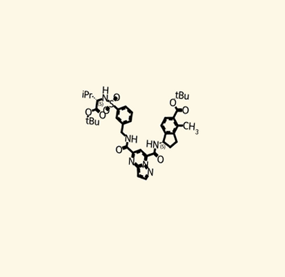 Cc1c(C(=O)OC(C)(C)C)ccc2c1CC[C@@H]2NC(=O)c1cc(C(=O)NCc2cccc(S(=O)(=O)N[C@H](C(=O)OC(C)(C)C)C(C)C)c2)nc2ccnn12